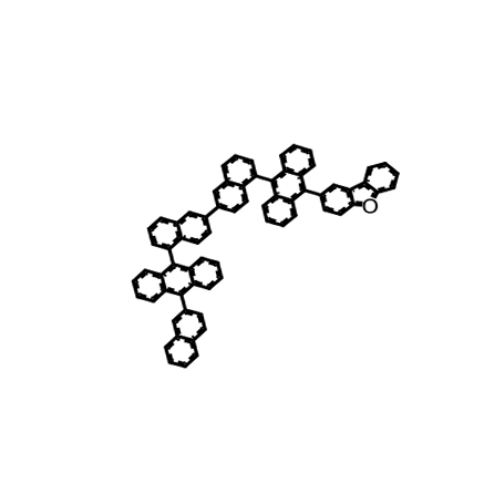 c1ccc2cc(-c3c4ccccc4c(-c4cccc5cc(-c6ccc7c(-c8c9ccccc9c(-c9ccc%10oc%11ccccc%11c%10c9)c9ccccc89)cccc7c6)ccc45)c4ccccc34)ccc2c1